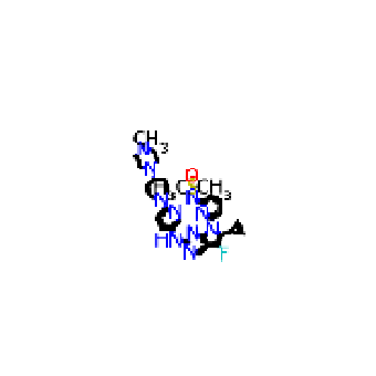 CN1CCN(C2CCN(c3ccc(Nc4ncc5c(F)c(C6CC6)n(-c6cccc(N=S(C)(C)=O)n6)c5n4)cn3)CC2)CC1